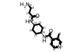 Cc1cnccc1C(=O)N[C@H]1CC[C@H](NC(=O)CCN)CC1